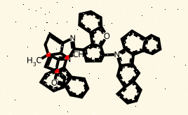 CC1C/C=C(C2C=Cc3oc4ccccc4c3C2C)/N=C(c2ccc(-n3c4cc5ccccc5cc4c4c5ccccc5ccc43)c3oc4ccccc4c23)\N=C/1c1ccccc1